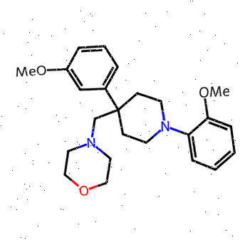 COc1cccc(C2(CN3CCOCC3)CCN(c3ccccc3OC)CC2)c1